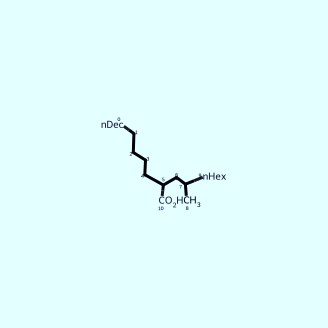 CCCCCCCCCCCCCCC([CH]C(C)CCCCCC)C(=O)O